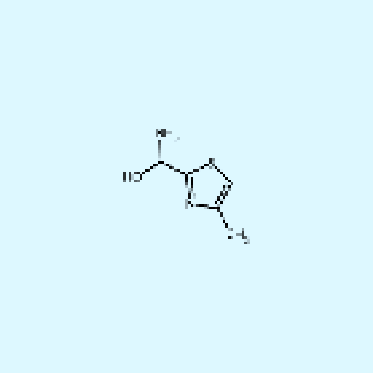 Cc1csc(C(N)O)n1